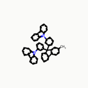 Cc1ccc2c(c1)C(c1cccc(-n3c4ccccc4c4ccccc43)c1)(c1cccc(-n3c4ccccc4c4ccccc43)c1)c1ccccc1-2